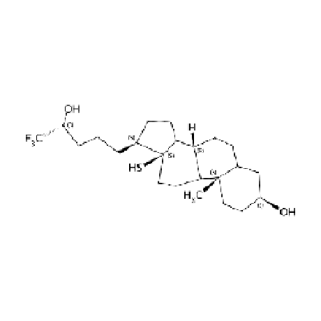 C[C@]12CC[C@H](O)CC1CC[C@@H]1C2CC[C@@]2(S)C1CC[C@@H]2CCC[C@@H](O)C(F)(F)F